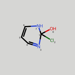 OC1(Cl)N=CC=CN1